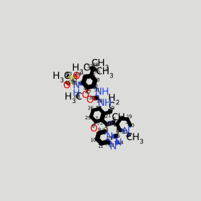 C=CC1=C(/C=C\C)[C@H](Oc2ccc3nnc([C@@H]4CCCCN4C)n3c2)CC[C@@H]1NC(=O)Nc1cc(C(C)(C)C)cc(NS(C)(=O)=O)c1OC